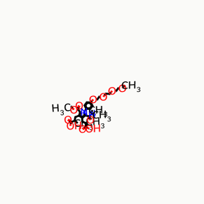 CCOC(=O)c1c(CC(C)C(=O)O)c(CC(C)C(=O)O)c(C(=O)N(C)C)n1-c1ccc(OCCOCCOCCOC)cc1